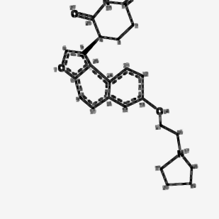 O=C1CC[C@@H](c2coc3ccc4cc(OCCN5CCCC5)ccc4c23)C(=O)N1